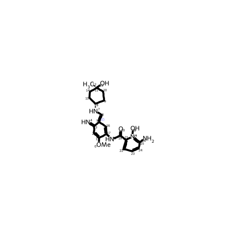 COC1=CC(=N)/C(=C\N[C@H]2CC[C@](C)(O)CC2)C=C1NC(=O)c1cccc(N)[n+]1O